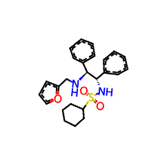 O=S(=O)(N[C@@H](c1ccccc1)[C@@H](NCc1ccco1)c1ccccc1)C1CCCCC1